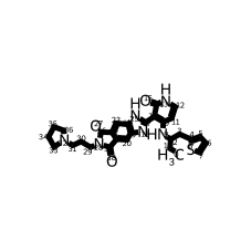 CCC(Cc1cccs1)Nc1cc[nH]c(=O)c1-c1nc2cc3c(cc2[nH]1)C(=O)N(CCCN1CCCC1)C3=O